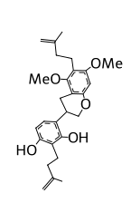 C=C(C)CCc1c(O)ccc(C2COc3cc(OC)c(CCC(=C)C)c(OC)c3C2)c1O